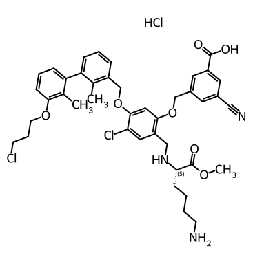 COC(=O)[C@H](CCCCN)NCc1cc(Cl)c(OCc2cccc(-c3cccc(OCCCCl)c3C)c2C)cc1OCc1cc(C#N)cc(C(=O)O)c1.Cl